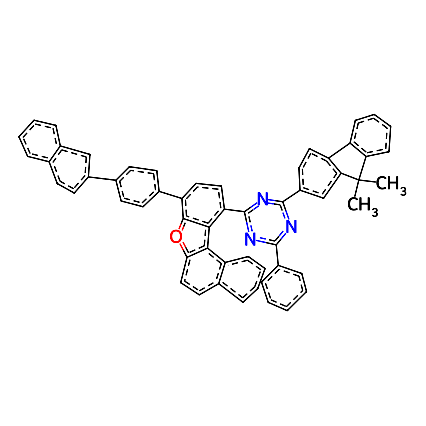 CC1(C)c2ccccc2-c2ccc(-c3nc(-c4ccccc4)nc(-c4ccc(-c5ccc(-c6ccc7ccccc7c6)cc5)c5oc6ccc7ccccc7c6c45)n3)cc21